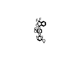 COc1ccnc(N2CCN(C(=O)c3ccccc3C(F)(F)F)CC2)n1.OCl